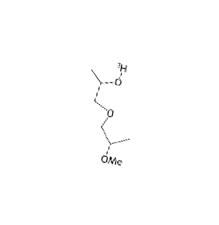 [3H]OC(C)COCC(C)OC